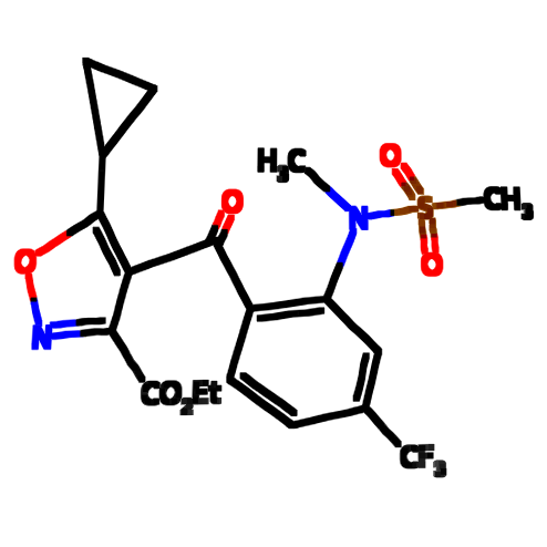 CCOC(=O)c1noc(C2CC2)c1C(=O)c1ccc(C(F)(F)F)cc1N(C)S(C)(=O)=O